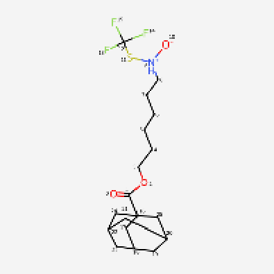 O=C(OCCCCCC[NH+]([O-])SC(F)(F)F)C12CC3CC(CC(C3)C1)C2